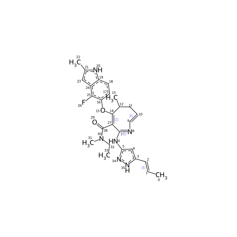 C/C=C/c1cc(NC2=N/C=C/CC(C)/C(Oc3ccc4[nH]c(C)cc4c3F)=C\2C(=O)N(C)CC)n[nH]1